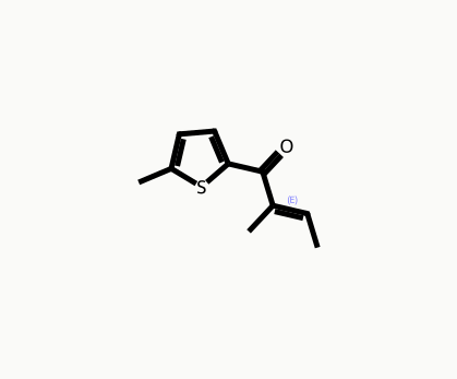 C/C=C(\C)C(=O)c1ccc(C)s1